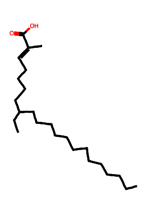 CCCCCCCCCCCCCC(CC)CCCC/C=C(\C)C(=O)O